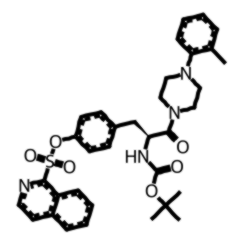 Cc1ccccc1N1CCN(C(=O)[C@H](Cc2ccc(OS(=O)(=O)c3nccc4ccccc34)cc2)NC(=O)OC(C)(C)C)CC1